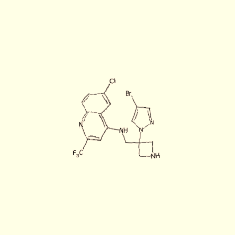 FC(F)(F)c1cc(NCC2(n3cc(Br)cn3)CNC2)c2cc(Cl)ccc2n1